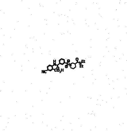 CCN(CC)C(=O)C1CCCN(S(=O)(=O)c2cccc(C(=O)Nc3ccc(C#N)cc3C(=O)O)c2)C1